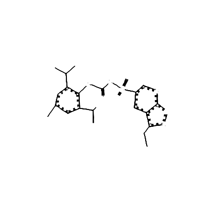 CCc1noc2ncc(S(=O)(=O)NC(=O)Nc3c(C(C)C)cc(Cl)cc3C(C)C)cc12